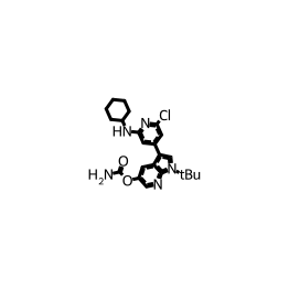 CC(C)(C)n1cc(-c2cc(Cl)nc(NC3CCCCC3)c2)c2cc(OC(N)=O)cnc21